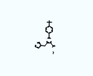 CCOC(=O)c1sc(-c2ccc(C(F)(F)F)cc2)nc1Cc1ccsc1